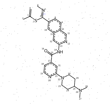 C=C(C)S/C(=N\C)c1ccc2cnc(NC(=O)c3ccnc(N4CCC(N(C)C)CC4)c3)cc2c1